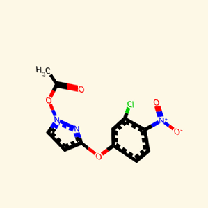 CC(=O)On1ccc(Oc2ccc([N+](=O)[O-])c(Cl)c2)n1